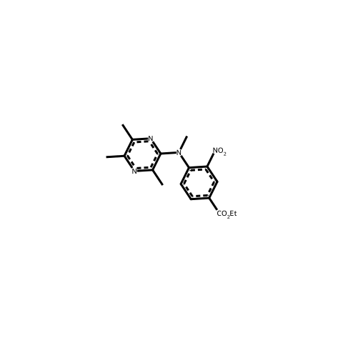 CCOC(=O)c1ccc(N(C)c2nc(C)c(C)nc2C)c([N+](=O)[O-])c1